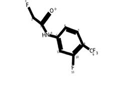 O=C(CF)Nc1ccc(C(F)(F)F)c(F)c1